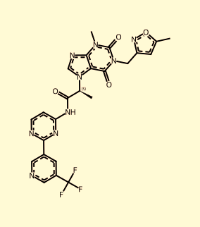 Cc1cc(Cn2c(=O)c3c(ncn3[C@@H](C)C(=O)Nc3ccnc(-c4cncc(C(F)(F)F)c4)n3)n(C)c2=O)no1